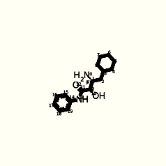 N[C@H](CC1CCCCC1)C(O)C(=O)Nc1ccccc1